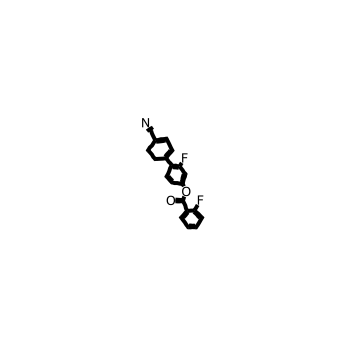 N#CC1=CC=C(c2ccc(OC(=O)c3ccccc3F)cc2F)CC1